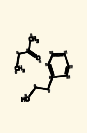 CCC(C)=O.OCCc1ccccc1